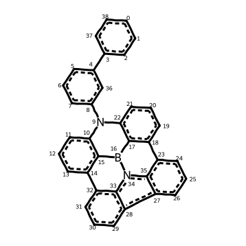 c1ccc(-c2cccc(N3c4cccc5c4B4c6c(cccc63)-c3cccc6c7cccc-5c7n4c36)c2)cc1